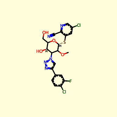 COC1C(n2cc(-c3ccc(Cl)c(F)c3)nn2)[C@@H](O)C(CO)O[C@@H]1Sc1cc(Cl)cnc1C#N